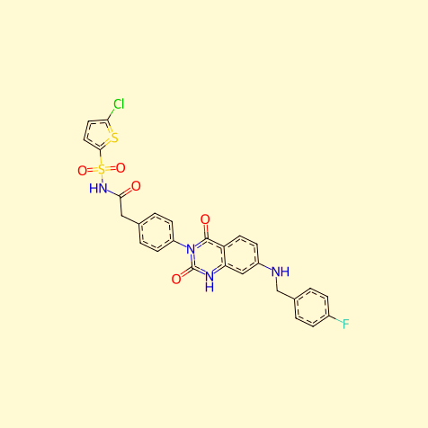 O=C(Cc1ccc(-n2c(=O)[nH]c3cc(NCc4ccc(F)cc4)ccc3c2=O)cc1)NS(=O)(=O)c1ccc(Cl)s1